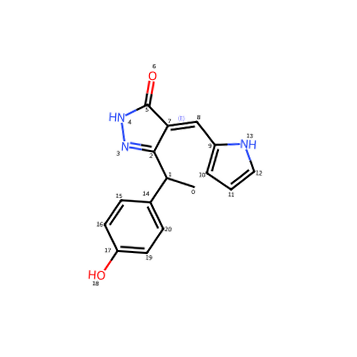 CC(C1=NNC(=O)/C1=C/c1ccc[nH]1)c1ccc(O)cc1